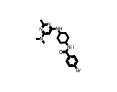 Cc1nc(NC2CCC(NC(=O)c3ccc(Br)cc3)CC2)cc(N(C)C)n1